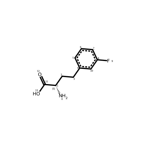 N[C@@H](CCc1cc[c]c(F)c1)C(=O)O